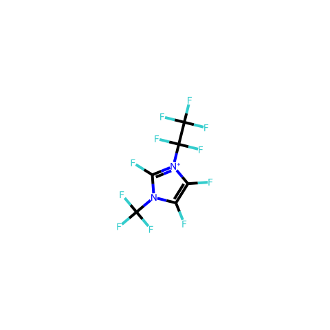 Fc1c(F)[n+](C(F)(F)C(F)(F)F)c(F)n1C(F)(F)F